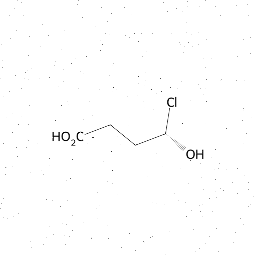 O=C(O)CC[C@@H](O)Cl